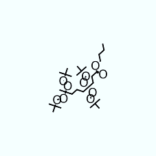 CCCCOC(=O)CCC(CCCC(C)(OOC(C)(C)C)OOC(C)(C)C)(OOC(C)(C)C)OOC(C)(C)C